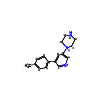 Cc1ccc(-c2cncc(N3CCNCC3)c2)cc1